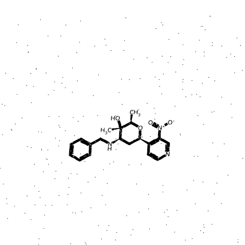 C[C@H]1O[C@@H](c2ccncc2[N+](=O)[O-])C[C@@H](NCc2ccccc2)[C@]1(C)O